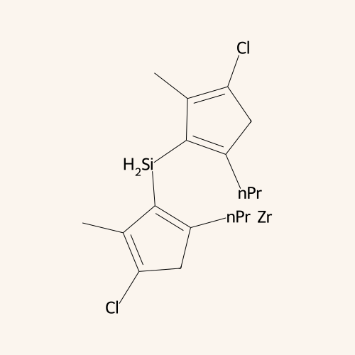 CCCC1=C([SiH2]C2=C(CCC)CC(Cl)=C2C)C(C)=C(Cl)C1.[Zr]